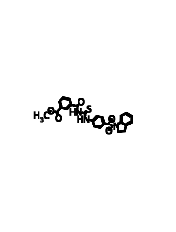 COC(=O)c1cccc(C(=O)NC(=S)Nc2ccc(S(=O)(=O)N3CCc4ccccc43)cc2)c1